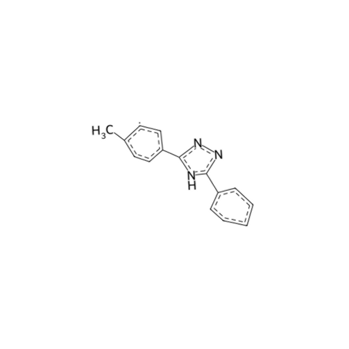 Cc1[c]cc(-c2nnc(-c3ccccc3)[nH]2)cc1